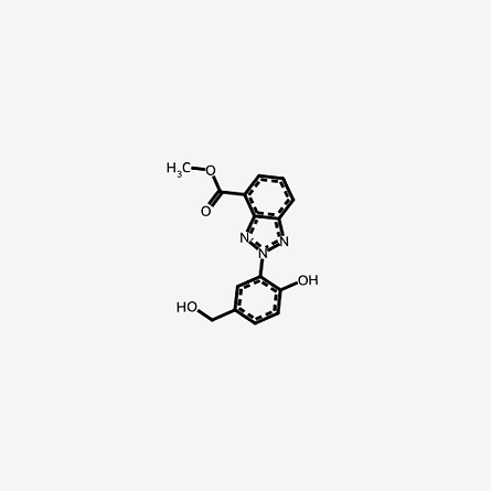 COC(=O)c1cccc2nn(-c3cc(CO)ccc3O)nc12